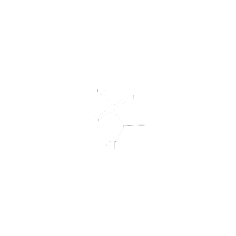 CC(Cl)S([O])(=O)=O